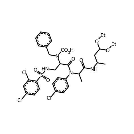 CCOC(CC(C)NC(=O)C(C)N(C(=O)C(CNS(=O)(=O)c1ccc(Cl)cc1Cl)N(Cc1ccccc1)C(=O)O)c1ccc(Cl)cc1)OCC